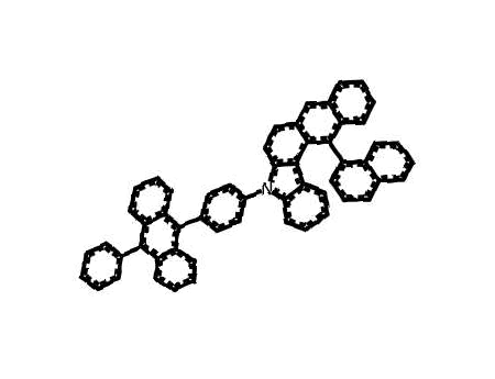 c1ccc(-c2c3ccccc3c(-c3ccc(-n4c5ccccc5c5c6c(-c7cccc8ccccc78)c7ccccc7cc6ccc54)cc3)c3ccccc23)cc1